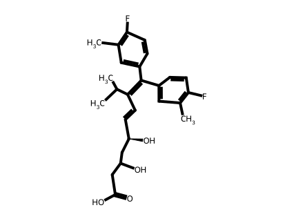 Cc1cc(C(=C(C=C[C@@H](O)CC(O)CC(=O)O)C(C)C)c2ccc(F)c(C)c2)ccc1F